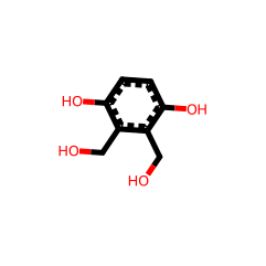 OCc1c(O)ccc(O)c1CO